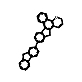 C1=Cc2c3c(c4ccccc4c2OC1)-c1ccc(-c2ccc4c(c2)Cc2ccccc2-4)cc1C3